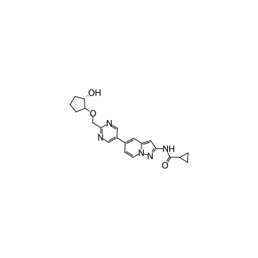 O=C(Nc1cc2cc(-c3cnc(COC4CCC[C@@H]4O)nc3)ccn2n1)C1CC1